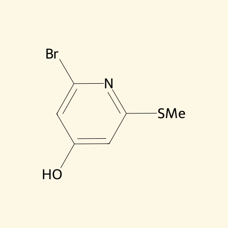 CSc1cc(O)cc(Br)n1